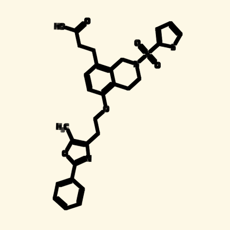 Cc1oc(-c2ccccc2)nc1CCOc1ccc(CCC(=O)O)c2c1CCN(S(=O)(=O)c1cccs1)C2